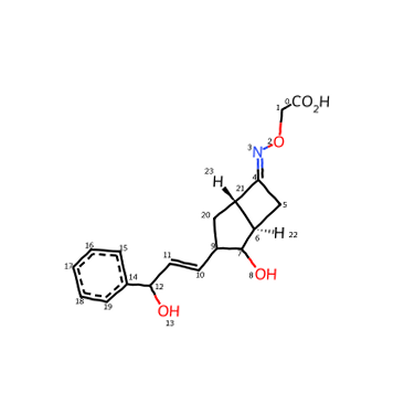 O=C(O)CON=C1C[C@H]2C(O)C(C=CC(O)c3ccccc3)C[C@H]12